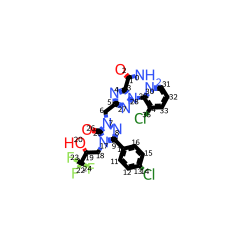 NC(=O)c1nc(Cn2nc(-c3ccc(Cl)cc3)n(CC(O)C(F)(F)F)c2=O)nn1-c1ncccc1Cl